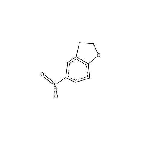 O=[SH](=O)c1ccc2c(c1)CCO2